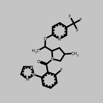 CC1CC(C(C)Oc2ccc(C(F)(F)F)cn2)N(C(=O)c2c(F)cccc2-n2nccn2)C1